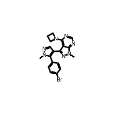 Cn1ncc(-c2nn(C)c3ncnc(N4CCC4)c23)c1-c1ccc(Br)cc1